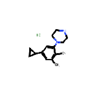 Cc1cc(C2CC2)cc(N2CCNCC2)c1C#N.Cl